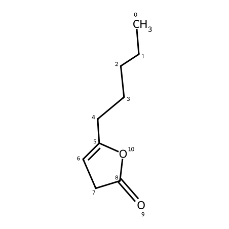 CCCCCC1=CCC(=O)O1